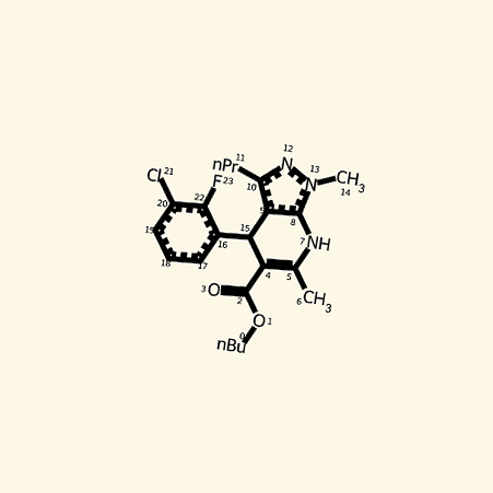 CCCCOC(=O)C1=C(C)Nc2c(c(CCC)nn2C)C1c1cccc(Cl)c1F